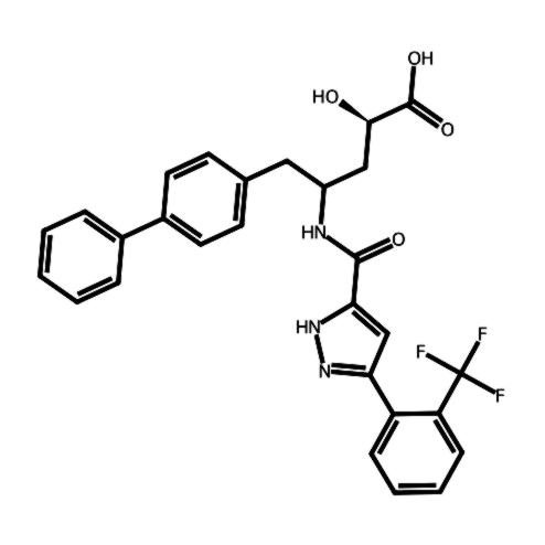 O=C(NC(Cc1ccc(-c2ccccc2)cc1)C[C@@H](O)C(=O)O)c1cc(-c2ccccc2C(F)(F)F)n[nH]1